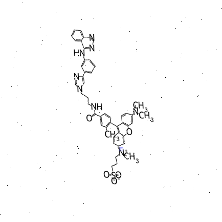 Cc1cc(C(=O)NCCCn2cnc(-c3cccc(Nc4ncnc5ccccc45)c3)c2)ccc1-c1c2cc/c(=[N+](/C)CCCS(=O)(=O)[O-])cc-2oc2cc(N(C)C)ccc12